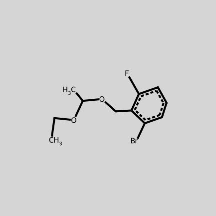 CCOC(C)OCc1c(F)cccc1Br